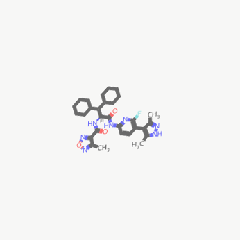 Cc1nonc1C(=O)N[C@H](C(=O)Nc1ccc(-c2c(C)n[nH]c2C)c(F)n1)C(C1CCCCC1)C1CCCCC1